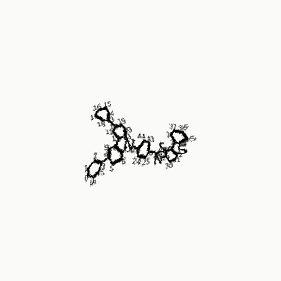 c1ccc(-c2ccc3c(c2)c2cc(-c4ccccc4)ccc2n3-c2ccc(-c3nc4ccc5sc6ccccc6c5c4s3)cc2)cc1